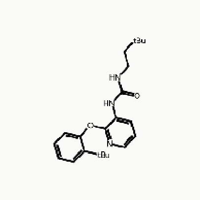 CC(C)(C)CCNC(=O)Nc1cccnc1Oc1ccccc1C(C)(C)C